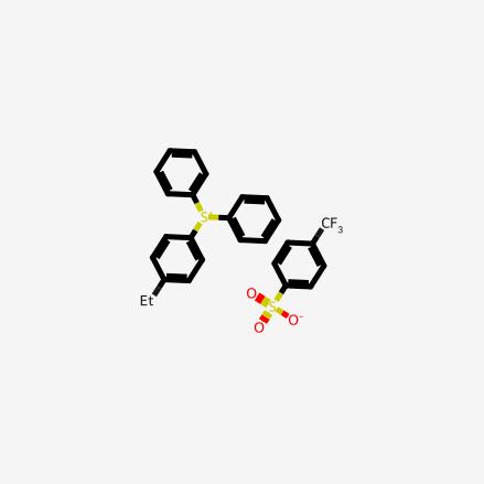 CCc1ccc([S+](c2ccccc2)c2ccccc2)cc1.O=S(=O)([O-])c1ccc(C(F)(F)F)cc1